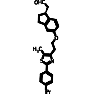 Cc1sc(-c2ccc(C(C)C)cc2)nc1CCOc1ccc2c(c1)CC[C@H]2CC=O